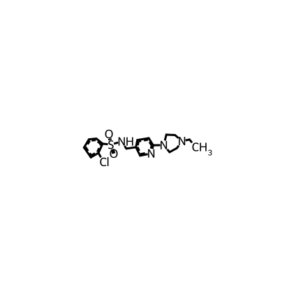 CCN1CCN(c2ccc(CNS(=O)(=O)c3ccccc3Cl)cn2)CC1